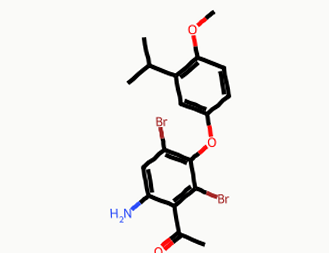 COc1ccc(Oc2c(Br)cc(N)c(C(C)=O)c2Br)cc1C(C)C